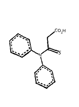 O=C(O)CC(=S)N(c1ccccc1)c1ccccc1